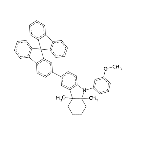 COc1cccc(N2c3ccc(-c4ccc5c(c4)C4(c6ccccc6-c6ccccc64)c4ccccc4-5)cc3C3(C)CCCCC23C)c1